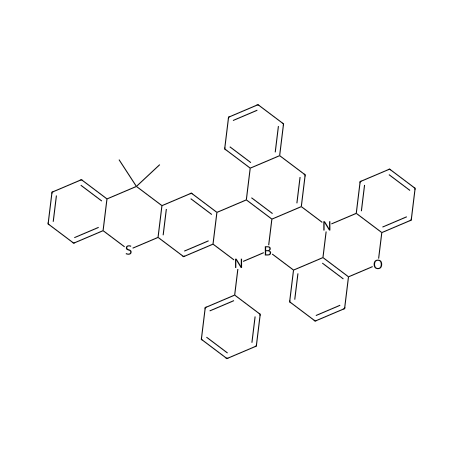 CC1(C)c2ccccc2Sc2cc3c(cc21)-c1c2c(cc4ccccc14)N1c4ccccc4Oc4cccc(c41)B2N3c1ccccc1